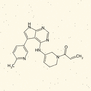 C=CC(=O)N1CCC=C(Nc2ncnc3[nH]cc(-c4ccc(C)nc4)c23)C1